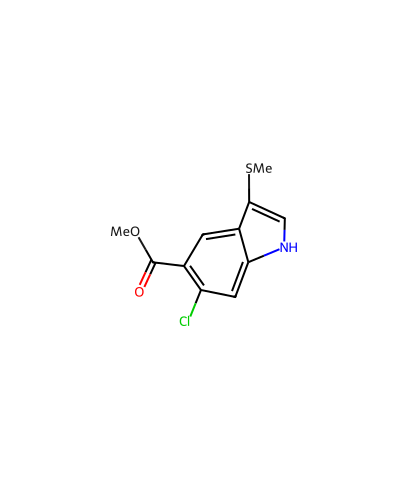 COC(=O)c1cc2c(SC)c[nH]c2cc1Cl